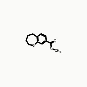 COC(=O)c1ccc2c(c1)SCCCC2